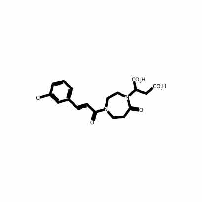 O=C(O)CC(C(=O)O)N1CCN(C(=O)C=Cc2cccc(Cl)c2)CCC1=O